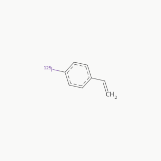 C=Cc1ccc([125I])cc1